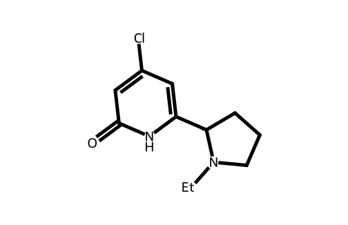 CCN1CCC[C]1c1cc(Cl)cc(=O)[nH]1